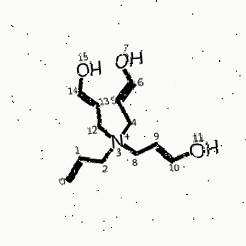 C=CC[N+](CC=CO)(CC=CO)CC=CO